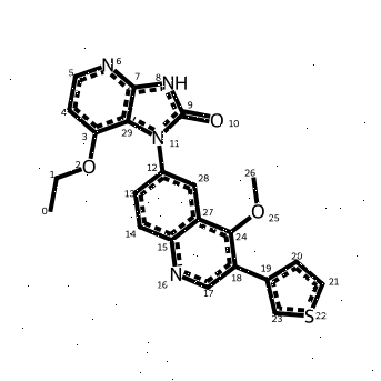 CCOc1ccnc2[nH]c(=O)n(-c3ccc4ncc(-c5ccsc5)c(OC)c4c3)c12